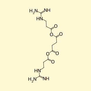 N=C(N)NCCC(=O)OC(=O)CCC(=O)OC(=O)CCNC(=N)N